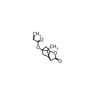 C=CC(=O)OC12CC3OC(=O)C(C3C1)C2C